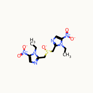 CCn1c([N+](=O)[O-])cnc1C[S+]([O-])Cc1ncc([N+](=O)[O-])n1CC